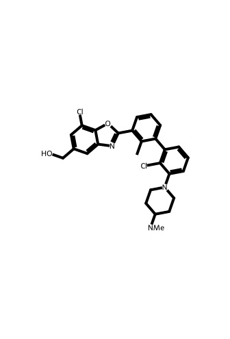 CNC1CCN(c2cccc(-c3cccc(-c4nc5cc(CO)cc(Cl)c5o4)c3C)c2Cl)CC1